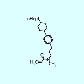 C=CC(=O)N(C)CCCc1ccc(C2CCC(CCCCCCC)CC2)cc1